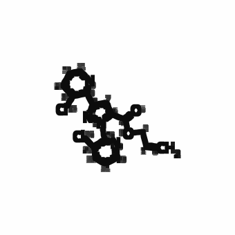 C=CCOC(=O)c1cc(-c2ncccc2Cl)nn1-c1ncccc1Cl